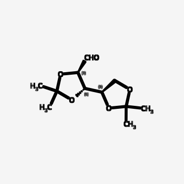 CC1(C)O[C@@H]([C@H]2COC(C)(C)O2)[C@H](C=O)O1